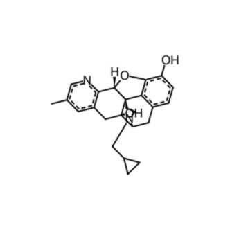 Cc1cnc2c(c1)C[C@@]1(O)C3Cc4ccc(O)c5c4[C@@]1(CCN3CC1CC1)[C@H]2O5